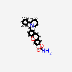 NC(=O)Oc1ccc2c(c1)CCc1cc(CN3CCCCCC3c3ccccc3)ccc1O2